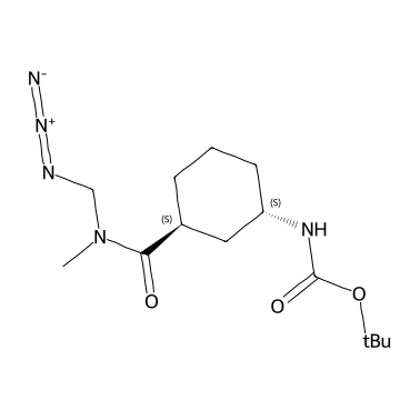 CN(CN=[N+]=[N-])C(=O)[C@H]1CCC[C@H](NC(=O)OC(C)(C)C)C1